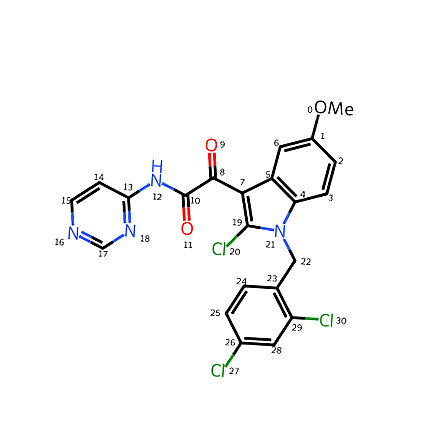 COc1ccc2c(c1)c(C(=O)C(=O)Nc1ccncn1)c(Cl)n2Cc1ccc(Cl)cc1Cl